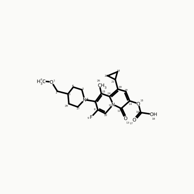 COCC1CCN(c2c(F)cn3c(=O)c(OC(=O)O)cc(C4CC4)c3c2C)CC1